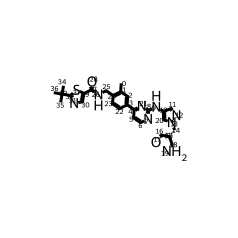 Cc1cc(-c2ccnc(Nc3cnn(C[C@@H](C=O)CN)c3)n2)ccc1CNC(=O)c1cnc(C(C)(C)C)s1